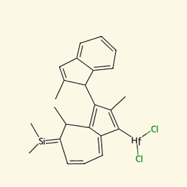 CC1=Cc2ccccc2C1C1=C2C(=CC=CC(=[Si](C)C)C2C)[C]([Hf]([Cl])[Cl])=C1C